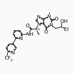 CCC(O)Cn1c(=O)c2c(ncn2[C@@H](C)C(=O)Nc2cccc(-c3ccc(C(F)(F)F)nc3)n2)n(C)c1=O